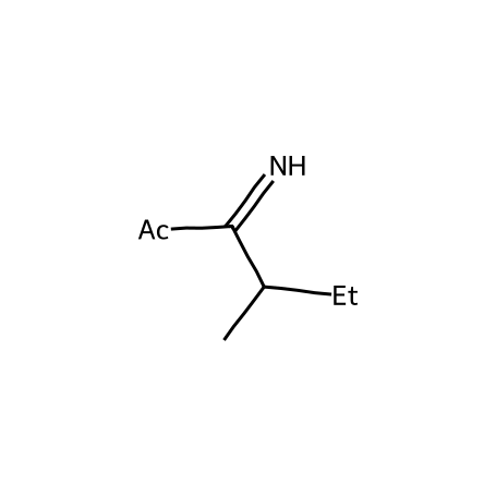 [CH2]C(=O)C(=N)C(C)CC